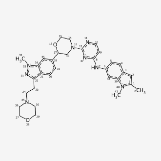 Cc1cc2ccc(Nc3ccnc(N4CCOC(c5ccc6c(CCN7CCOCC7)nn(C)c6c5)C4)n3)cc2n1C